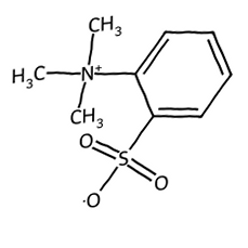 C[N+](C)(C)c1ccccc1S([O])(=O)=O